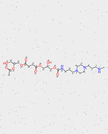 CNCCCN1CCN(CCCNC(=O)OCC(O)COC(=O)CCC(=O)OCC(CO)OC(C)=O)CC1